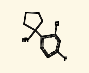 CCCC1(c2ccc(F)cc2Cl)CCCC1